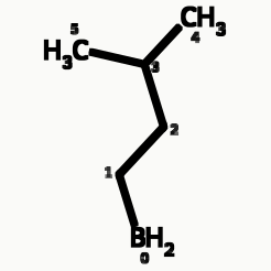 BCCC(C)C